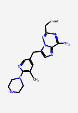 CCCC(C)Cc1nc(N)c2ncc(Cc3cnc(N4CCNCC4)c(C)c3)n2n1